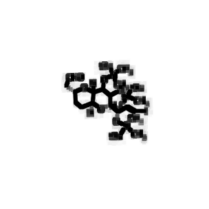 CC(C)(C)[Si](C)(C)OC1C(O[Si](C)(C)C(C)(C)C)[C@H]2O[C@@H](CC=O)CC[C@@H]2O[C@H]1[C@H](/C=C/I)O[Si](C)(C)C(C)(C)C